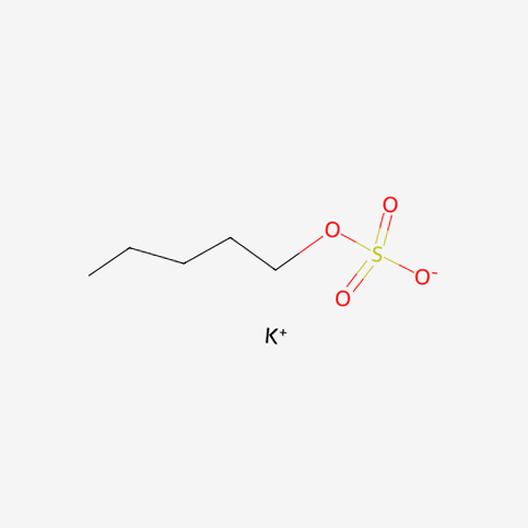 CCCCCOS(=O)(=O)[O-].[K+]